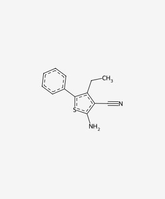 CCc1c(-c2ccccc2)sc(N)c1C#N